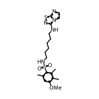 COc1cc(C)c(S(=O)(=O)NCCCCCCNc2nsc3nccn23)c(C)c1C